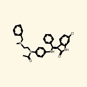 CC(=O)N(CCN(C)Cc1ccccc1)c1ccc(N/C(=C2\C(=O)Nc3cc(Cl)ccc32)c2ccccc2)cc1